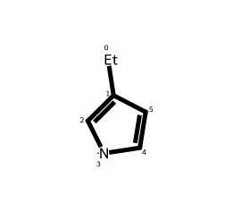 CCC1=C[N]C=C1